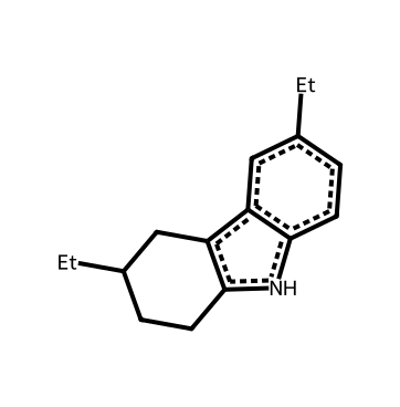 CCc1ccc2[nH]c3c(c2c1)CC(CC)CC3